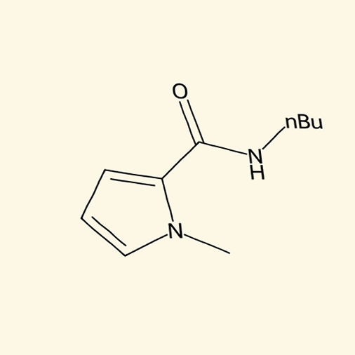 CCCCNC(=O)c1cccn1C